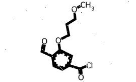 COCCCOc1cc(C(=O)Cl)ccc1C=O